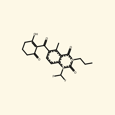 CCCn1c(=O)c2c(C)c(C(=O)C3=C(O)CCCC3=O)ccc2n(C(F)F)c1=O